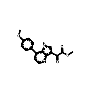 COC(=O)C(=O)c1c[nH]c2c(-c3ccc(OC)cc3)ccnc12